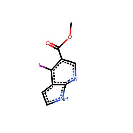 COC(=O)c1cnc2[nH]ccc2c1I